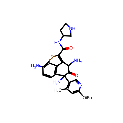 Cc1cc(OCC(C)C)ncc1C1(N)C(=O)C(N)c2c(C(=O)NC3CCNC3)sc3c(N)ccc1c23